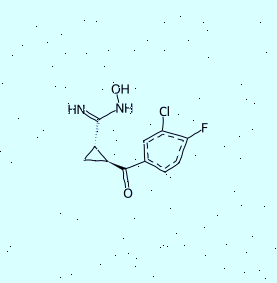 N=C(NO)[C@H]1C[C@@H]1C(=O)c1ccc(F)c(Cl)c1